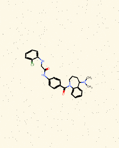 CN(C)C1CCCN(C(=O)c2ccc(NC(=O)CNc3ccccc3Cl)cc2)c2ccccc21